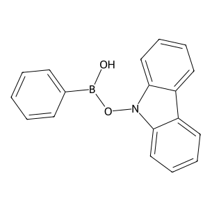 OB(On1c2ccccc2c2ccccc21)c1ccccc1